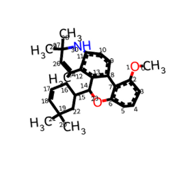 COc1cccc2c1-c1ccc3c(c1C(C1CC=CC(C)(C)C1)O2)C(C)=CC(C)(C)N3